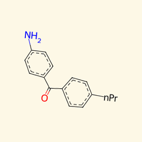 CCCc1ccc(C(=O)c2ccc(N)cc2)cc1